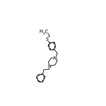 CCSc1ccc(CN2CCN(CCc3ccccc3)CC2)cc1